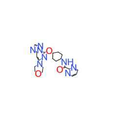 O=C(N[C@H]1CC[C@@H](Oc2nc(N3CCOCC3)cc3ncnn23)CC1)c1ncccn1